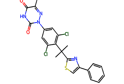 CC(C)(c1nc(-c2ccccc2)cs1)c1c(Cl)cc(-n2nc(C#N)c(=O)[nH]c2=O)cc1Cl